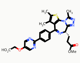 COC(=O)CC[C@@H]1N=C(c2ccc(-c3ncc(OCC(=O)O)cn3)cc2)c2c(sc(C)c2C)-n2c(C)nnc21